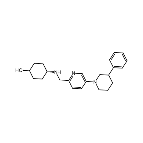 O[C@H]1CC[C@@H](NCc2ccc(N3CCCC(c4ccccc4)C3)cn2)CC1